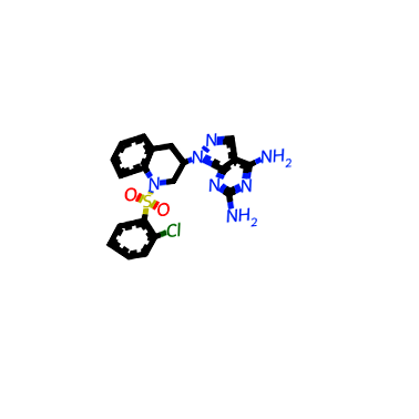 Nc1nc(N)c2cnn(C3Cc4ccccc4N(S(=O)(=O)c4ccccc4Cl)C3)c2n1